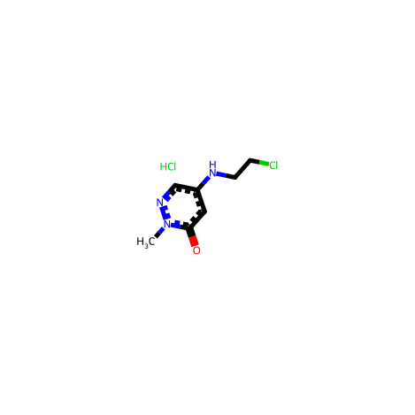 Cl.Cn1ncc(NCCCl)cc1=O